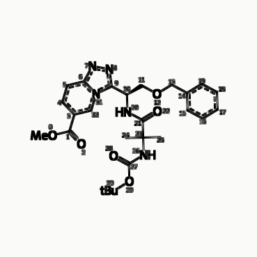 COC(=O)c1ccc2nnc([C@@H](COCc3ccccc3)NC(=O)C(C)(C)NC(=O)OC(C)(C)C)n2c1